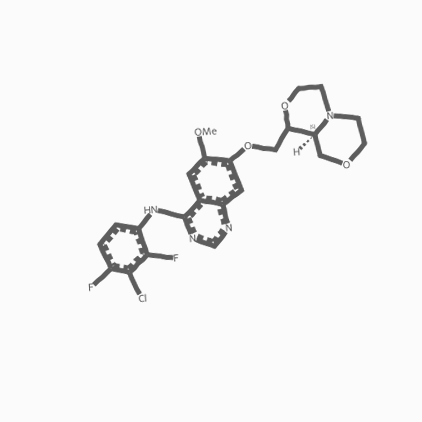 COc1cc2c(Nc3ccc(F)c(Cl)c3F)ncnc2cc1OCC1OCCN2CCOC[C@@H]12